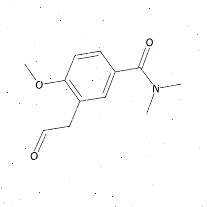 COc1ccc(C(=O)N(C)C)cc1CC=O